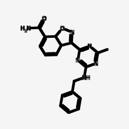 Cc1nc(NCc2ccccc2)nc(C2=NOC3C(C(N)=O)=CC=CC23)n1